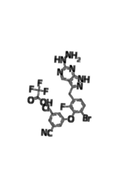 N#Cc1cc(Cl)cc(Oc2c(Br)ccc(Cc3n[nH]c4nc(NN)ncc34)c2F)c1.O=C(O)C(F)(F)F